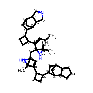 CC/C=C(/C1CCC1C1CC2CC1C1CNCC21)C1(CC23C=C(C4CCC4C4CC5CC4C4CCCC54)C2(C)N3)NC1(C)C